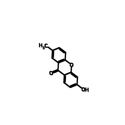 Cc1ccc2oc3cc(O)ccc3c(=O)c2c1